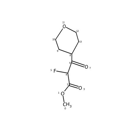 COC(=O)C(F)C(=O)C1CCOCC1